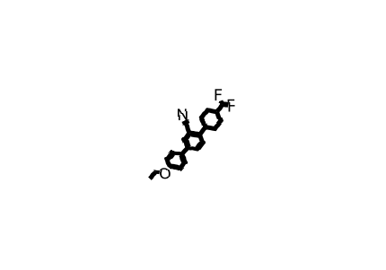 CCOc1ccc(-c2ccc(C3CCC(C(F)F)CC3)c(C#N)c2)cc1